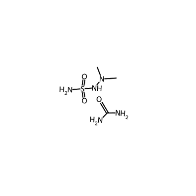 CN(C)NS(N)(=O)=O.NC(N)=O